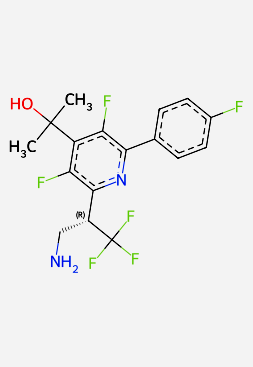 CC(C)(O)c1c(F)c(-c2ccc(F)cc2)nc([C@@H](CN)C(F)(F)F)c1F